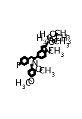 COc1ccc(CN=C(Cc2ccc(F)cc2)c2ccc3c(c2)cc(CO[Si](C)(C)C(C)(C)C)n3C)c(OC)c1